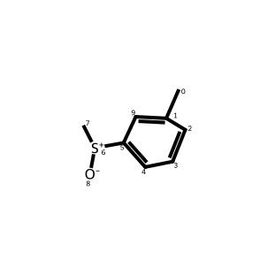 Cc1cccc([S+](C)[O-])c1